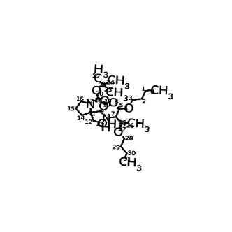 CCCCOC(=O)C(NC(=O)C1(CO)CCCN1C(=O)OC(C)(C)C)[C@@H](C)OCCCC